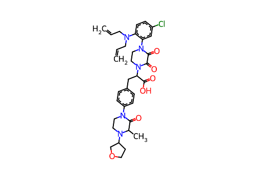 C=CCN(CC=C)c1ccc(Cl)cc1N1CCN(C(Cc2ccc(N3CCN(C4CCOC4)C(C)C3=O)cc2)C(=O)O)C(=O)C1=O